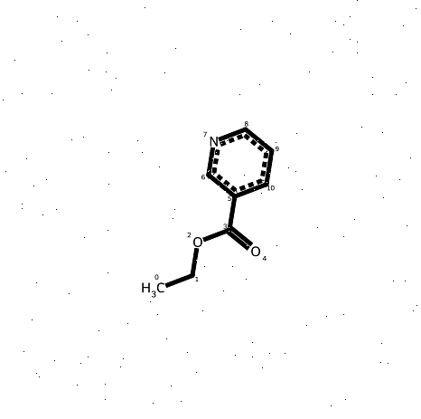 CCOC(=O)c1[c]nccc1